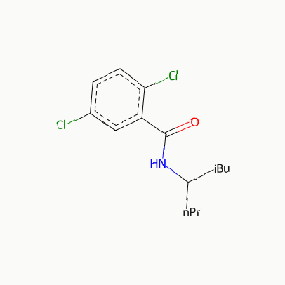 CCCC(NC(=O)c1cc(Cl)ccc1Cl)C(C)CC